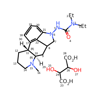 CCN(CC)C(=O)NN1CC2C[C@@H]3[C@H](CCCN3C)c3cccc1c32.O=C(O)C(O)C(O)C(=O)O